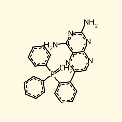 C=P(c1ccccc1)(c1ccccc1)c1ccccc1-c1cnc2nc(N)nc(N)c2n1